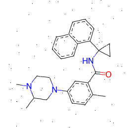 Cc1ccc(N2CCN(C)C(C)C2)cc1C(=O)NC1(c2cccc3ccccc23)CC1